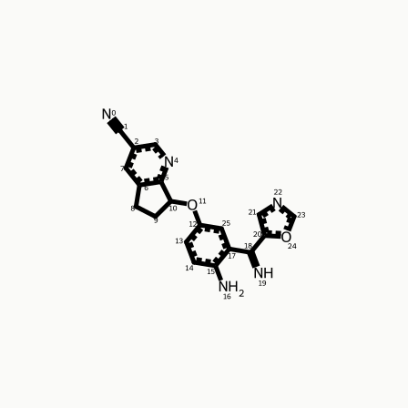 N#Cc1cnc2c(c1)CCC2Oc1ccc(N)c(C(=N)c2cnco2)c1